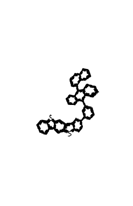 c1cc(-c2ccc3sc4cc5c(cc4c3c2)sc2ccccc25)cc(-c2c3ccccc3c(-c3cccc4ccccc34)c3ccccc23)c1